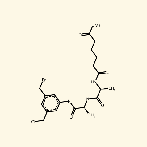 COC(=O)CCCCC(=O)N[C@@H](C)C(=O)N[C@@H](C)C(=O)Nc1cc(CCl)cc(CBr)c1